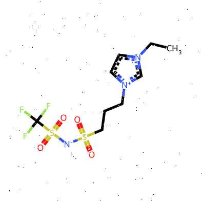 CCn1cc[n+](CCCS(=O)(=O)[N-]S(=O)(=O)C(F)(F)F)c1